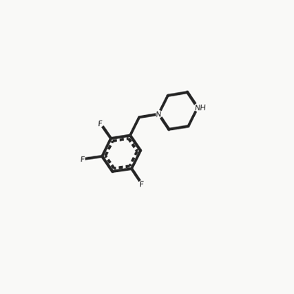 Fc1cc(F)c(F)c(CN2CCNCC2)c1